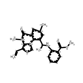 C=Cc1ncn2c3c(C(C)Nc4ccccc4C(=O)OC)cc(C)cc3c(=O)n(C)c12